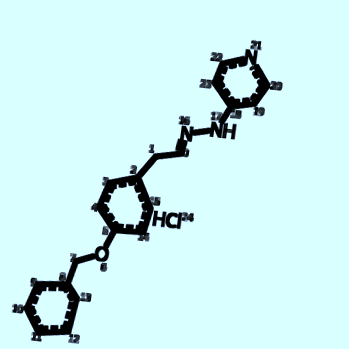 C(/Cc1ccc(OCc2ccccc2)cc1)=N\Nc1ccncc1.Cl